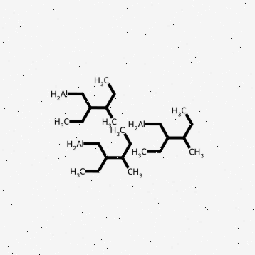 CCC(C)C(CC)[CH2][AlH2].CCC(C)C(CC)[CH2][AlH2].CCC(C)C(CC)[CH2][AlH2]